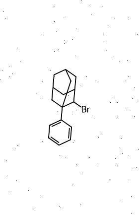 BrC1C2CC3CC(C2)CC1(c1ccccc1)C3